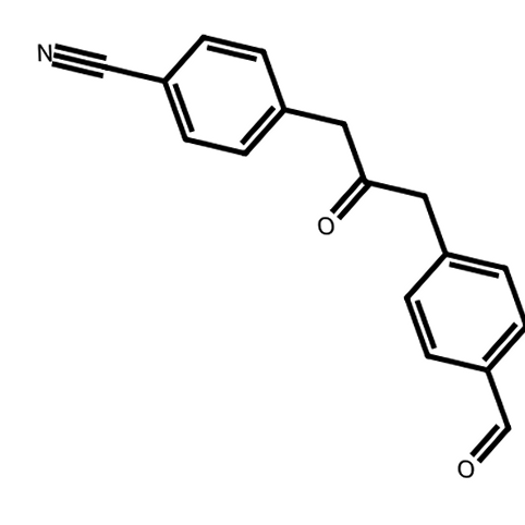 N#Cc1ccc(CC(=O)Cc2ccc(C=O)cc2)cc1